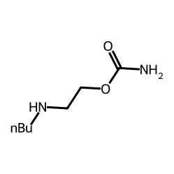 CCCCNCCOC(N)=O